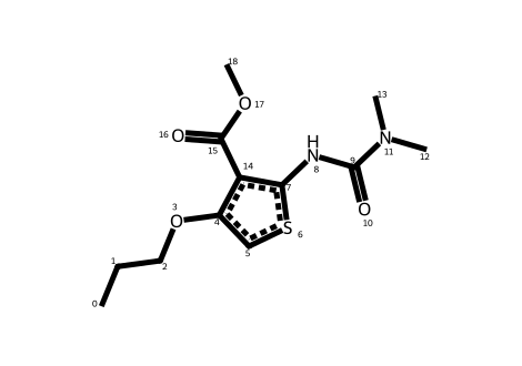 CCCOc1csc(NC(=O)N(C)C)c1C(=O)OC